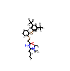 CCCCC(NC(=O)CSC1CCCCC1Sc1cc(C(C)(C)C)cc(C(C)(C)C)c1)N(CC)CC